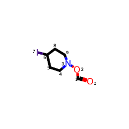 O=CON1CCC(I)CC1